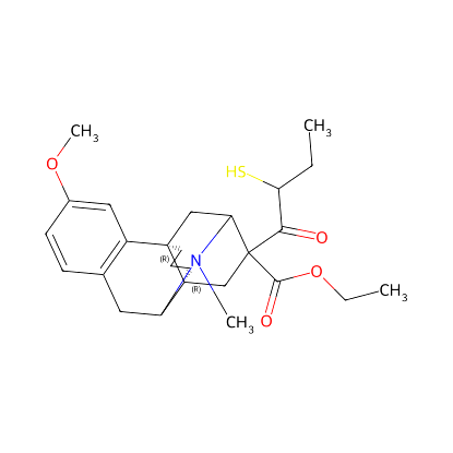 CCOC(=O)C1(C(=O)C(S)CC)C[C@]23CCC[C@]24CC1N(C)C3Cc1ccc(OC)cc14